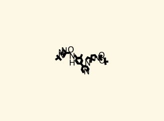 Cc1cc(-c2ccncc2N2CCC3(CCN(C(=O)OC(C)(C)C)C3)C2)ccc1CNC(=O)c1cn(C(C)(C)C)nn1